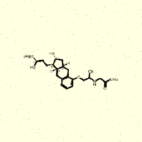 CCCCC[C@H](O)CC[C@@H]1[C@H]2Cc3cccc(OCC(O)NCC(=O)OC)c3C[C@H]2C[C@H]1O